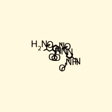 COCCNc1cc(NC(=O)N(C)c2ccc(CC(C)C(N)=O)c(C3OCCO3)n2)ncc1C#N